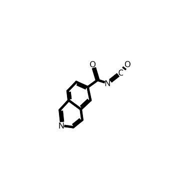 O=C=NC(=O)c1ccc2cnccc2c1